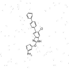 Pc1cccc(Oc2nc3cc(-c4ccc(-c5ccccc5)cc4)c(Cl)cc3[nH]2)c1